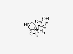 C[C@@H]1CNCCN1C.O=C(O)C(F)(F)F